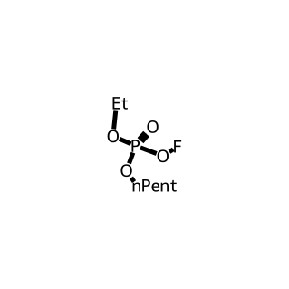 CCCCCOP(=O)(OF)OCC